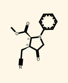 COC(=O)[C@@H]1[C@H](CC#N)C(=O)CN1c1ccccc1